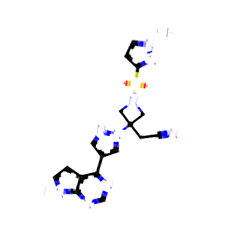 Cn1ccc(S(=O)(=O)N2CC(CC#N)(n3cc(-c4ncnc5[nH]ccc45)cn3)C2)n1